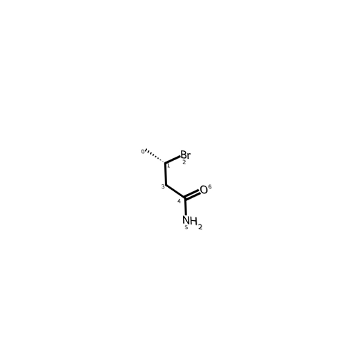 C[C@H](Br)CC(N)=O